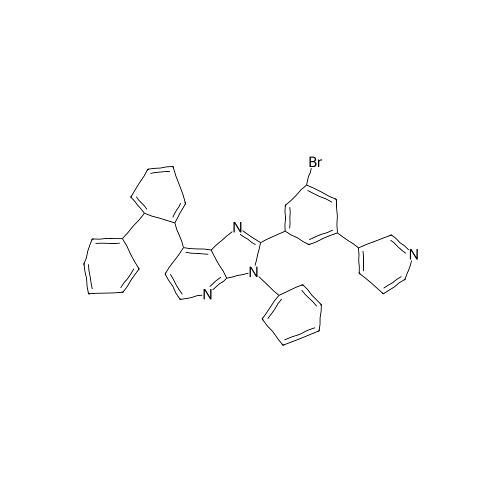 Brc1cc(-c2cccnc2)cc(-c2nc3c(-c4ccccc4-c4ccccc4)ccnc3n2-c2ccccc2)c1